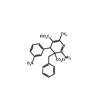 CCOC(=O)C1=C(C)N=C(N)C(Cc2ccccc2)(C(=O)OCC)C1c1cccc([N+](=O)[O-])c1